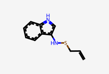 C=CCSNc1c[nH]c2ccccc12